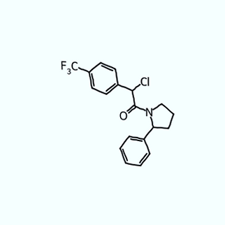 O=C(C(Cl)c1ccc(C(F)(F)F)cc1)N1CCCC1c1ccccc1